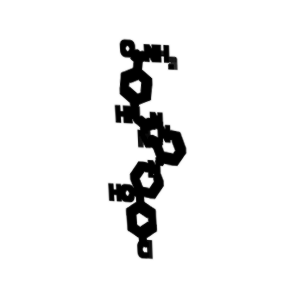 NC(=O)c1ccc(Nc2nc3c(N4CCC(O)(c5ccc(Cl)cc5)CC4)cccn3n2)cc1